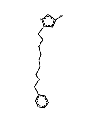 Brc1cnn(CCCCOCCOCc2ccccc2)c1